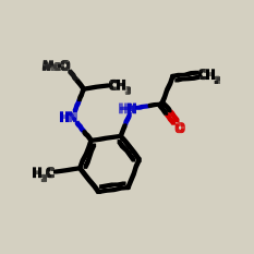 C=CC(=O)Nc1cccc(C)c1NC(C)OC